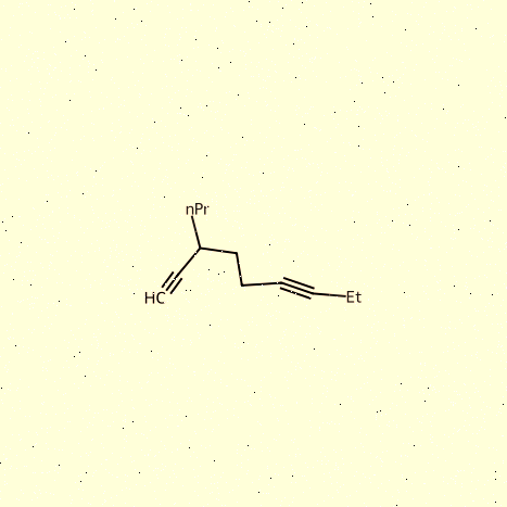 C#CC(CCC)CCC#CCC